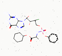 CO[C@](F)(COP(=O)(NC(C)C(=O)OC1CCCCC1)Oc1ccccc1)[C@@H](O)[C@@](C)(O)N1C=NC2C(=O)NC(N)=NC21